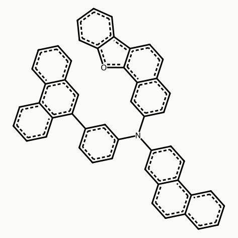 c1cc(-c2cc3ccccc3c3ccccc23)cc(N(c2ccc3c(ccc4ccccc43)c2)c2ccc3ccc4c5ccccc5oc4c3c2)c1